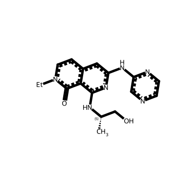 CCn1ccc2cc(Nc3cnccn3)nc(N[C@@H](C)CO)c2c1=O